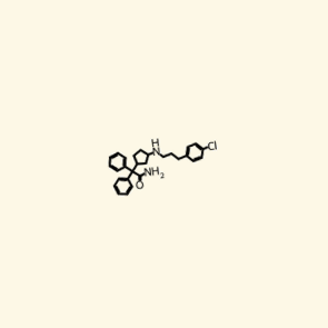 NC(=O)C(c1ccccc1)(c1ccccc1)C1CCC(NCCCc2ccc(Cl)cc2)C1